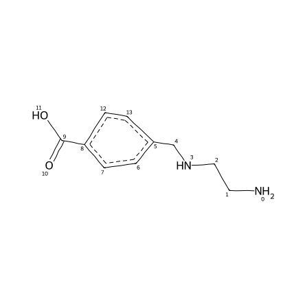 NCCNCc1ccc(C(=O)O)cc1